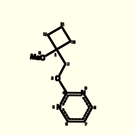 COC1(COc2ncccn2)CCC1